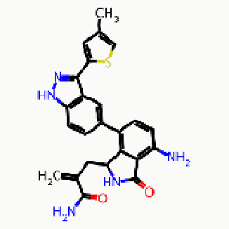 C=C(CC1NC(=O)c2c(N)ccc(-c3ccc4[nH]nc(-c5cc(C)cs5)c4c3)c21)C(N)=O